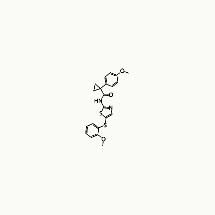 COc1ccc(C2(C(=O)Nc3ncc(Sc4ccccc4OC)s3)CC2)cc1